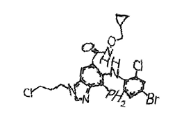 O=C(NOCC1CC1)c1cc2c(ncn2CCCCl)c(P)c1Nc1ccc(Br)cc1Cl